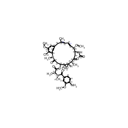 COc1cc(C(=O)N(C)[C@@H](C)C(=O)O[C@H]2CC(=O)N(C)c3cc(cc(OC)c3Cl)C/C(C)=C/C=C/[C@@H](OC)C3C[C@H](OC(=O)N3)[C@@H](C)[C@@H]3O[C@@]23C)ccc1N